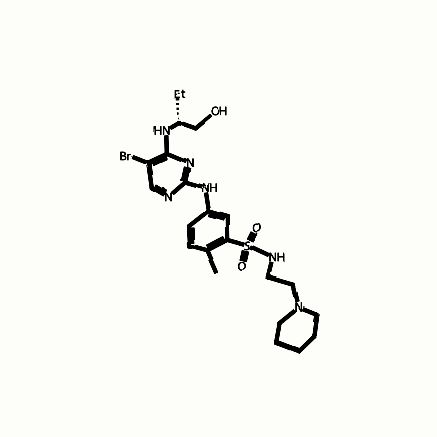 CC[C@H](CO)Nc1nc(Nc2ccc(C)c(S(=O)(=O)NCCN3CCCCC3)c2)ncc1Br